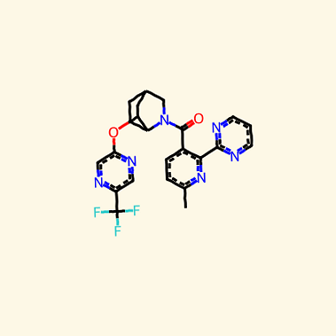 Cc1ccc(C(=O)N2CC3CCC2C(Oc2cnc(C(F)(F)F)cn2)C3)c(-c2ncccn2)n1